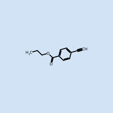 C#Cc1ccc(C(=O)OCCC)cc1